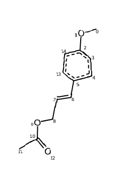 COc1ccc(C=CCOC(C)=O)cc1